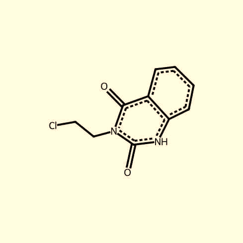 O=c1[nH]c2ccccc2c(=O)n1CCCl